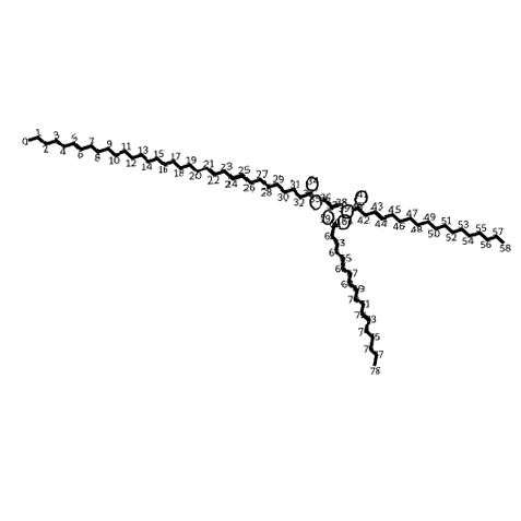 CCCCCCCCCCCCCCCCCCCCCCCCCCCCCCCCCC(=O)OCC(COC(=O)CCCCCCCCCCCCCCCCC)OC(=O)CCCCCCCCCCCCCCCCC